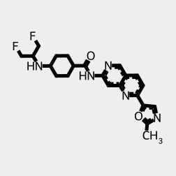 Cc1ncc(-c2ccc3cnc(NC(=O)C4CCC(NC(CF)CF)CC4)cc3n2)o1